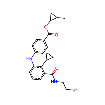 CC(C)CCNC(=O)c1cccc(Nc2ccc(C(=O)OC3CC3C)cc2)c1C1CC1